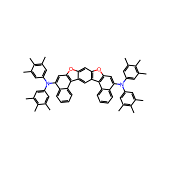 Cc1cc(N(c2cc(C)c(C)c(C)c2)c2cc3oc4cc5oc6cc(N(c7cc(C)c(C)c(C)c7)c7cc(C)c(C)c(C)c7)c7ccccc7c6c5cc4c3c3ccccc23)cc(C)c1C